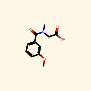 COc1cccc(C(=O)N(C)[CH]C(=O)O)c1